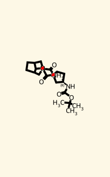 CC(C)(C)OC(=O)N[C@@H]1CCN(C(=O)OC2C3CCC2CN(C(N)=O)C3)C1